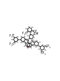 N#Cc1cc(-n2c3ccccc3c3cc(-c4cc(C(F)(F)F)cc(C(F)(F)F)c4)ccc32)c(-n2c3ccccc3c3cc(-c4cc(C(F)(F)F)cc(C(F)(F)F)c4)ccc32)cc1-c1c(C(F)(F)F)cccc1C(F)(F)F